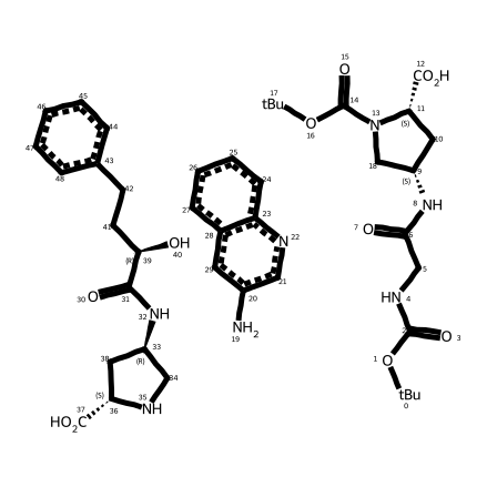 CC(C)(C)OC(=O)NCC(=O)N[C@H]1C[C@@H](C(=O)O)N(C(=O)OC(C)(C)C)C1.Nc1cnc2ccccc2c1.O=C(N[C@H]1CN[C@H](C(=O)O)C1)[C@H](O)CCc1ccccc1